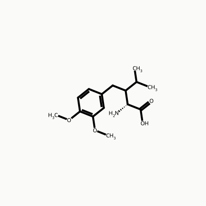 COc1ccc(CC(C(C)C)[C@@H](N)C(=O)O)cc1OC